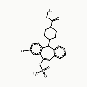 CC(C)(C)OC(=O)N1CCC(C2c3ccc(Cl)cc3C(OS(=O)(=O)C(F)(F)F)=Cc3cccnc32)CC1